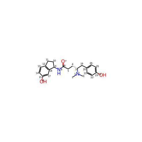 CN(C)[C@H](CCC(=O)NC1CCc2ccc(O)cc21)Cc1ccc(O)cc1